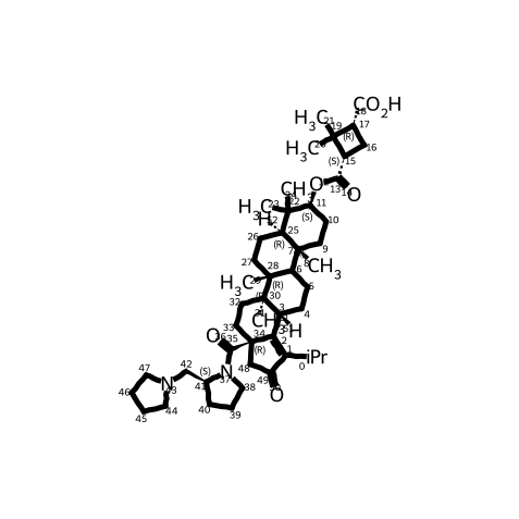 CC(C)C1=C2[C@H]3CCC4[C@@]5(C)CC[C@H](OC(=O)[C@H]6C[C@@H](C(=O)O)C6(C)C)C(C)(C)[C@@H]5CC[C@@]4(C)[C@]3(C)CC[C@@]2(C(=O)N2CCC[C@H]2CN2CCCC2)CC1=O